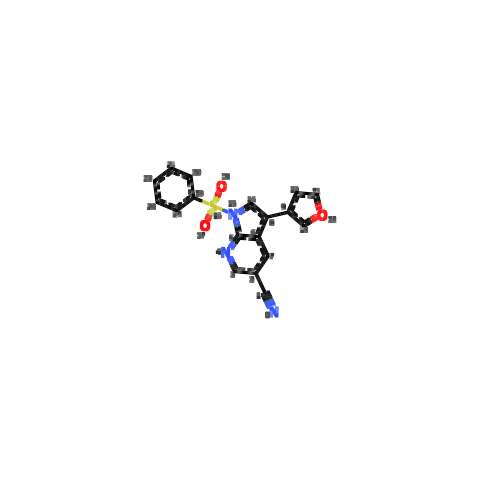 N#Cc1cnc2c(c1)c(-c1ccoc1)cn2S(=O)(=O)c1ccccc1